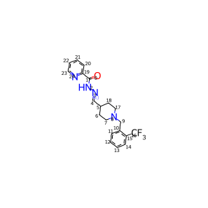 O=C(N/N=C/C1CCN(Cc2ccccc2C(F)(F)F)CC1)c1ccccn1